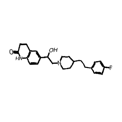 O=C1CCc2cc(C(O)CN3CCC(CCc4ccc(F)cc4)CC3)ccc2N1